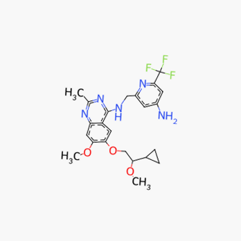 COc1cc2nc(C)nc(NCc3cc(N)cc(C(F)(F)F)n3)c2cc1OCC(OC)C1CC1